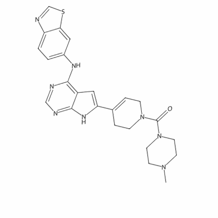 CN1CCN(C(=O)N2CC=C(c3cc4c(Nc5ccc6ncsc6c5)ncnc4[nH]3)CC2)CC1